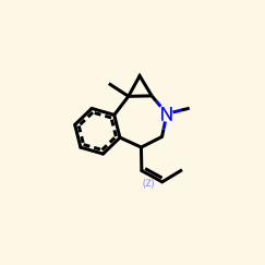 C/C=C\C1CN(C)C2CC2(C)c2ccccc21